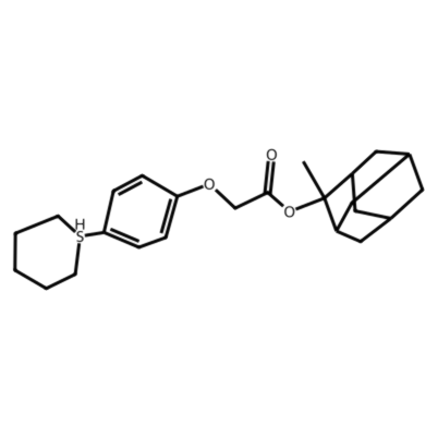 CC1(OC(=O)COc2ccc([SH]3CCCCC3)cc2)C2CC3CC(C2)CC1C3